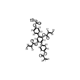 C=C(C)C(=O)Oc1ccc(-c2cc(OC(=O)/C(C)=C/C)c(-c3ccc(OC(=O)C(C)(C)C)cc3)cc2OC(=O)/C(C)=C/C)cc1